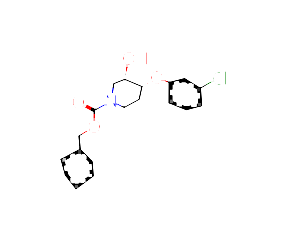 O=C(OCc1ccccc1)N1CC[C@@H](Oc2cccc(Cl)c2)[C@H](O)C1